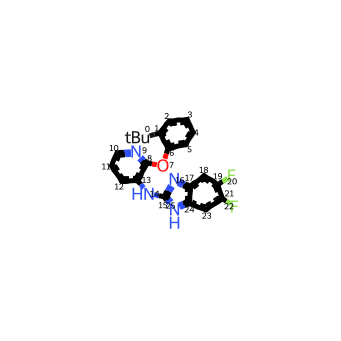 CC(C)(C)c1ccccc1Oc1ncccc1Nc1nc2cc(F)c(F)cc2[nH]1